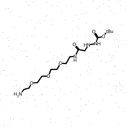 CC(C)(C)OC(=O)NNCC(=O)NCCOCCOCCOCCN